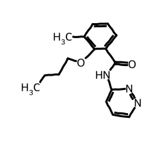 CCCCOc1c(C)cccc1C(=O)Nc1cccnn1